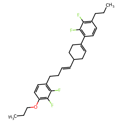 CCCOc1ccc(CC/C=C/C2CC=C(c3ccc(CCC)c(F)c3F)CC2)c(F)c1F